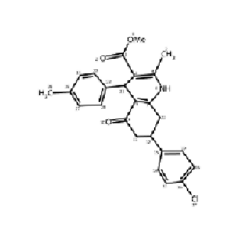 COC(=O)C1=C(C)NC2=C(C(=O)CC(c3ccc(Cl)cc3)C2)C1c1ccc(C)cc1